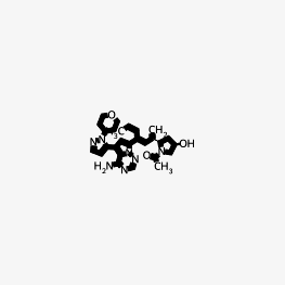 C=C(/C=C(\C=C/C)c1cc(-c2ccnn2C2CCOCC2)c2c(N)ncnn12)[C@@H]1C[C@@H](O)CN1C(C)=O